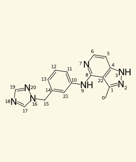 Cc1n[nH]c2ccnc(Nc3cccc(Cn4cncn4)c3)c12